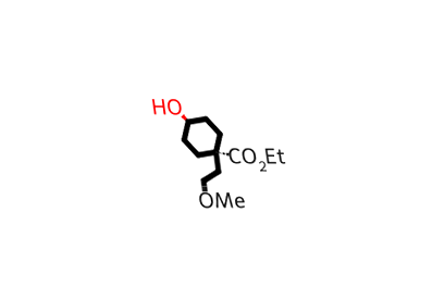 CCOC(=O)[C@]1(CCOC)CC[C@@H](O)CC1